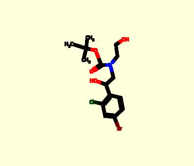 CC(C)(C)OC(=O)N(CCO)CC(O)c1ccc(Br)cc1Cl